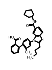 CCCCc1nc2ccc(C(=O)NC3CCCCC3)cc2n1-c1ccc(-c2ccccc2C(=O)O)c(C)c1